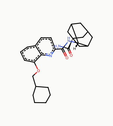 NC(=O)[C@]12CC3CC(C1)[C@@H](NC(=O)c1ccc4cccc(OCC5CCCCC5)c4n1)C(C3)C2